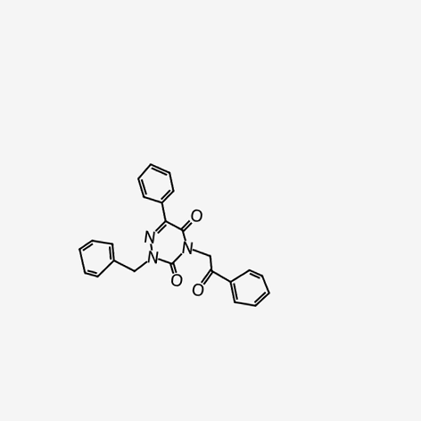 O=C(Cn1c(=O)c(-c2ccccc2)nn(Cc2ccccc2)c1=O)c1ccccc1